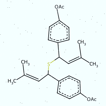 CC(=O)Oc1ccc(C(C=C(C)C)SC(C=C(C)C)c2ccc(OC(C)=O)cc2)cc1